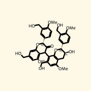 COc1ccc([C@H]2Oc3c(c(OC)cc(CO)c3C3C(=O)[C@@H](c4ccc(OC)c(CO)c4)Oc4cc(CO)cc(OC)c43)C[C@@H]2O)cc1CO